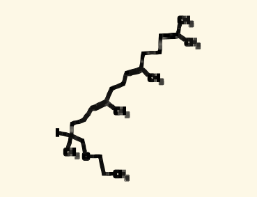 CCCOCC(C)(I)CC/C=C(\C)CC/C=C(\C)CCC=C(C)C